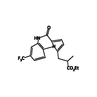 CCOC(=O)C(C)Cc1ccc2c(=O)[nH]c3cc(C(F)(F)F)ccc3n12